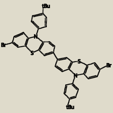 CC(C)(C)c1ccc(N2c3ccc(Br)cc3Sc3cc(-c4ccc5c(c4)Sc4cc(Br)ccc4N5c4ccc(C(C)(C)C)cc4)ccc32)cc1